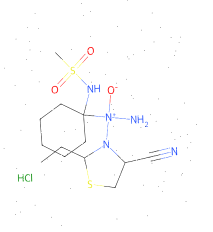 CCC1SCC(C#N)N1[N+](N)([O-])C1(NS(C)(=O)=O)CCCCC1.Cl